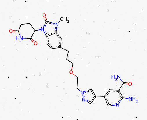 Cn1c(=O)n(C2CCC(=O)NC2=O)c2ccc(CCCOCCn3cc(-c4cnc(N)c(C(N)=O)c4)cn3)cc21